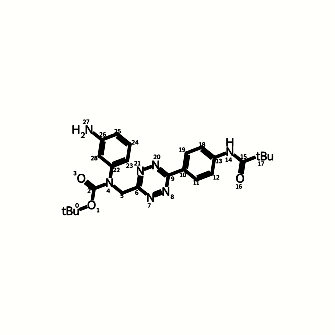 CC(C)(C)OC(=O)N(Cc1nnc(-c2ccc(NC(=O)C(C)(C)C)cc2)nn1)c1cccc(N)c1